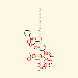 CCCCCCCCCCCOc1c(OC(=O)c2ccccc2)c(=O)oc2cc(O[C@H]3O[C@H](COC(C)=O)[C@@H](OC(C)=O)[C@H](OC(C)=O)[C@@H]3OC(C)=O)ccc12